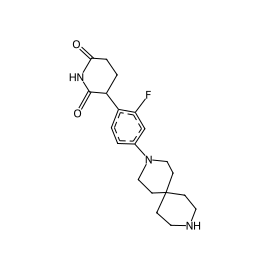 O=C1CCC(c2ccc(N3CCC4(CCNCC4)CC3)cc2F)C(=O)N1